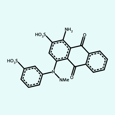 CNN(c1cccc(S(=O)(=O)O)c1)c1cc(S(=O)(=O)O)c(N)c2c1C(=O)c1ccccc1C2=O